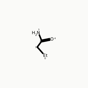 CC[CH]C(N)=O